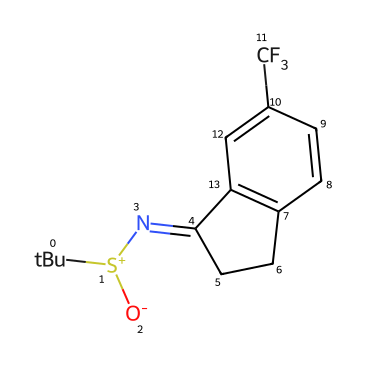 CC(C)(C)[S+]([O-])N=C1CCc2ccc(C(F)(F)F)cc21